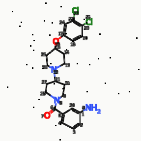 Nc1cccc(C(=O)N2CCC(N3CCC(Oc4ccc(Cl)c(Cl)c4)CC3)CC2)c1